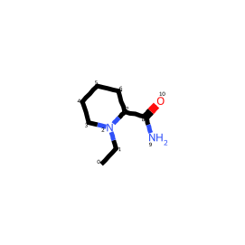 CCN1CCC[CH]C1C(N)=O